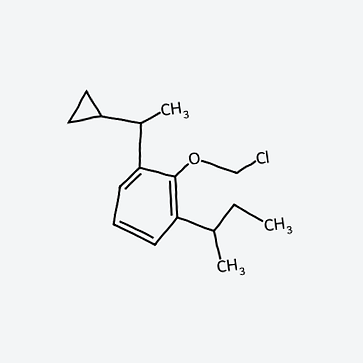 CCC(C)c1cccc(C(C)C2CC2)c1OCCl